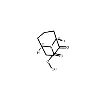 CC(C)(C)OC(=O)N1[C@@H]2CCC[C@@H]1C(=O)CC2